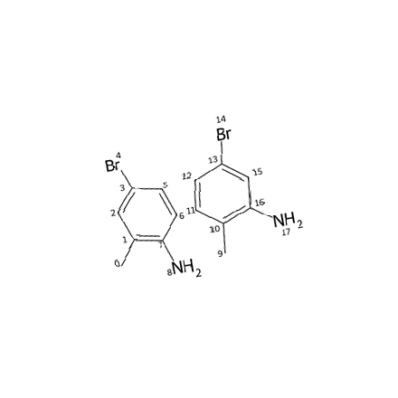 Cc1cc(Br)ccc1N.Cc1ccc(Br)cc1N